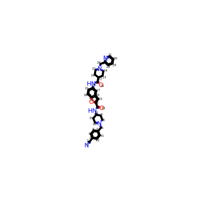 N#Cc1ccc(CN2CCC(NC(=O)c3cc4cc(NC(=O)C5CCN(Cc6ccccn6)CC5)ccc4o3)CC2)cc1